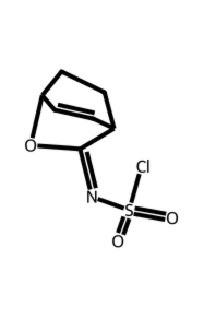 O=S(=O)(Cl)N=C1OC2C=CC1CC2